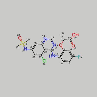 C[C@@H](Oc1cc(F)ccc1Nc1ncnc2cc(N=S(C)(C)=O)cc(Cl)c12)C(=O)O